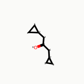 O=C(CC1CC1)CC1CC1